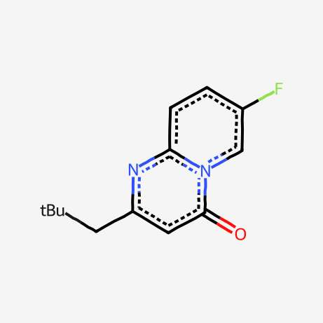 CC(C)(C)Cc1cc(=O)n2cc(F)ccc2n1